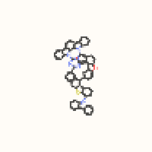 c1ccc(-c2nc(-c3cccc4oc5ccc(-c6cccc7sc8c(-n9c%10ccccc%10c%10ccccc%109)cccc8c67)cc5c34)nc(-n3c4ccccc4c4ccc5c6ccccc6n(-c6ccccc6)c5c43)n2)cc1